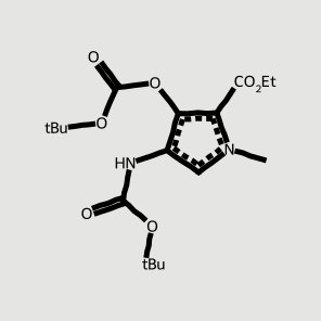 CCOC(=O)c1c(OC(=O)OC(C)(C)C)c(NC(=O)OC(C)(C)C)cn1C